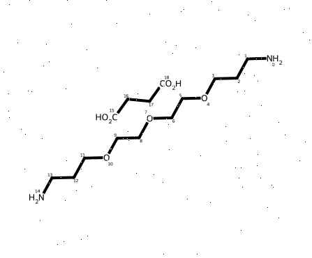 NCCCOCCOCCOCCCN.O=C(O)CCC(=O)O